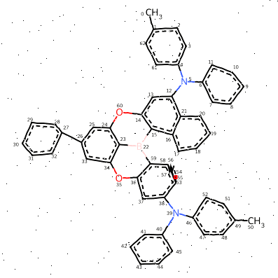 Cc1ccc(N(c2ccccc2)c2cc3c(c4ccccc24)B2c4c(cc(-c5ccccc5)cc4Oc4cc(N(c5ccccc5)c5ccc(C)cc5)c5ccccc5c42)O3)cc1